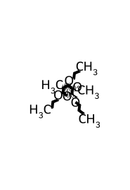 CCCCOC[C@H]1O[C@H](OCCCC)[C@@H](C)[C@@H](OCCCC)[C@@H]1OC